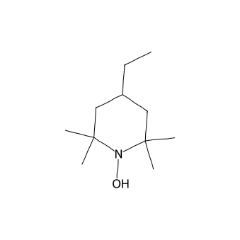 CCC1CC(C)(C)N(O)C(C)(C)C1